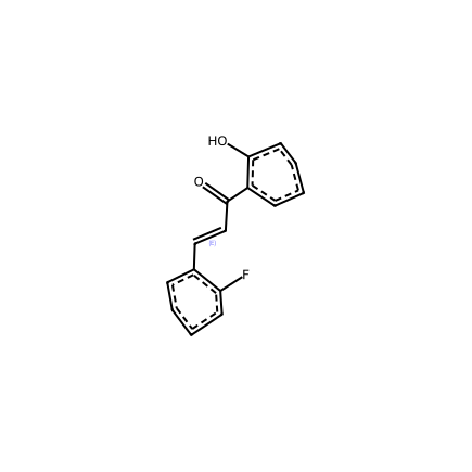 O=C(/C=C/c1ccccc1F)c1ccccc1O